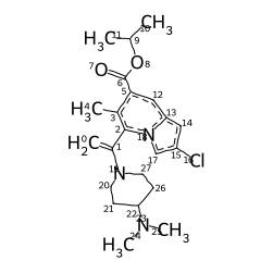 C=C(c1c(C)c(C(=O)OC(C)C)cc2cc(Cl)cn12)N1CCC(N(C)C)CC1